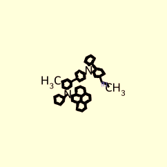 C/C=C/c1ccc2c3ccccc3n(-c3ccc(-c4cc(C)cc(N(c5ccccc5)c5cc6cccc7ccc8cccc5c8c76)c4)cc3)c2c1